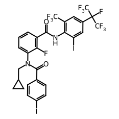 O=C(Nc1c(I)cc(C(F)(C(F)(F)F)C(F)(F)F)cc1C(F)(F)F)c1cccc(N(CC2CC2)C(=O)c2ccc(I)cc2)c1F